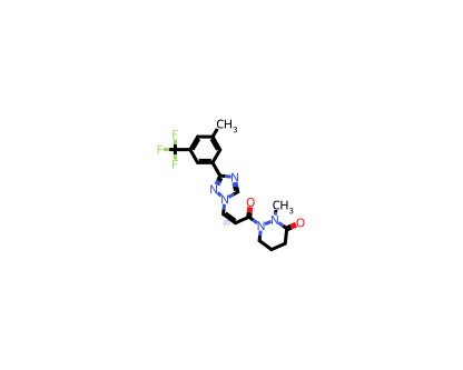 Cc1cc(-c2ncn(/C=C\C(=O)N3CCCC(=O)N3C)n2)cc(C(F)(F)F)c1